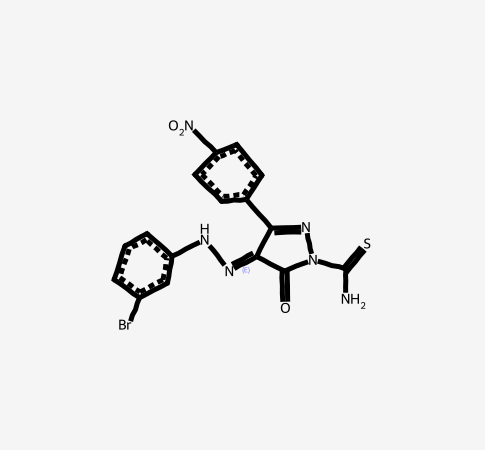 NC(=S)N1N=C(c2ccc([N+](=O)[O-])cc2)/C(=N\Nc2cccc(Br)c2)C1=O